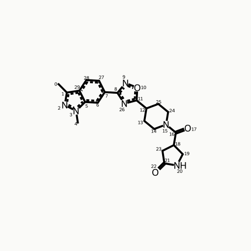 Cc1nn(C)c2cc(-c3noc(C4CCN(C(=O)C5CNC(=O)C5)CC4)n3)ccc12